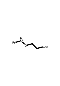 CC(=O)OCCO[SiH2]C(C)C